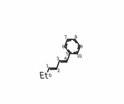 CCC=CC=Cc1ccccc1